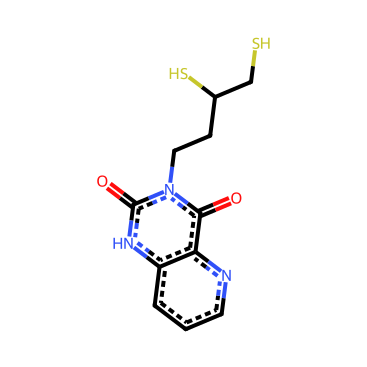 O=c1[nH]c2cccnc2c(=O)n1CCC(S)CS